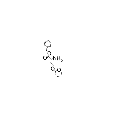 N[C@@H](CCOC1CCCCO1)C(=O)OCc1ccccc1